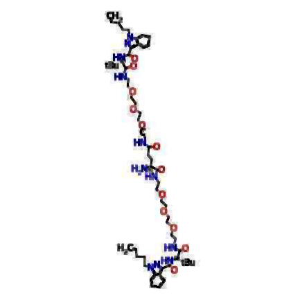 C=CCCCn1nc(C(=O)N[C@H](C(=O)NCCOCCOCCOCCNC(=O)CC[C@H](N)C(=O)NCCOCCOCCOCCNC(=O)[C@@H](NC(=O)c2nn(CCCC=C)c3ccccc23)C(C)(C)C)C(C)(C)C)c2ccccc21